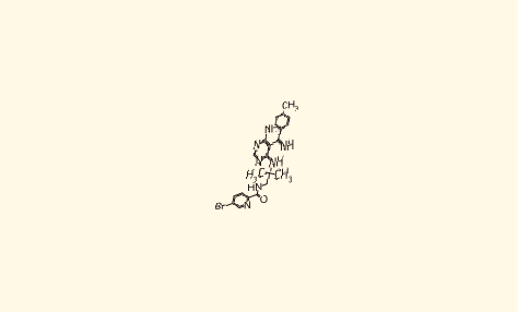 Cc1ccc(C(=N)c2c(N)ncnc2NC(C)(C)CNC(=O)c2ccc(Br)cn2)cc1